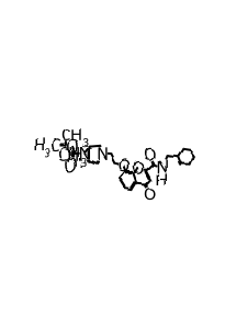 CC(C)(C)OC(=O)N1CCN(CCOc2cccc3c(=O)cc(C(=O)NCC4CCCCC4)oc23)CC1